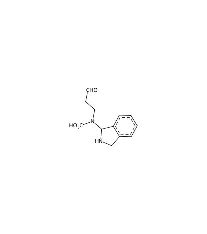 O=CCCN(C(=O)O)C1NCc2ccccc21